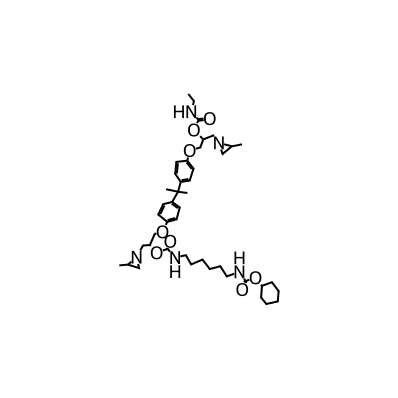 CCNC(=O)OC(COc1ccc(C(C)(C)c2ccc(OCC(CN3CC3C)OC(=O)NCCCCCCNC(=O)OC3CCCCC3)cc2)cc1)CN1CC1C